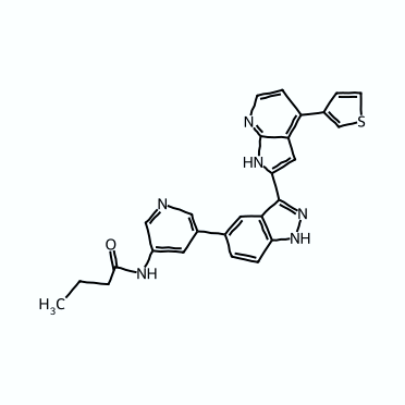 CCCC(=O)Nc1cncc(-c2ccc3[nH]nc(-c4cc5c(-c6ccsc6)ccnc5[nH]4)c3c2)c1